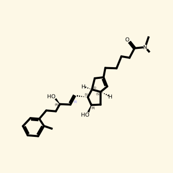 Cc1ccccc1CC[C@@H](O)/C=C/[C@@H]1[C@H]2CC(CCCCC(=O)N(C)C)=C[C@H]2C[C@H]1O